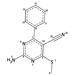 CSc1nc(N)nc(-c2ccccc2)c1C#N